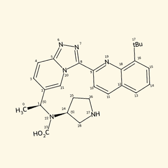 C[C@@H](c1ccc2nnc(-c3ccc4cccc(C(C)(C)C)c4n3)n2c1)N(C(=O)O)[C@H]1CCNC1